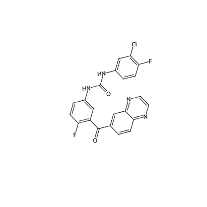 O=C(Nc1ccc(F)c(Cl)c1)Nc1ccc(F)c(C(=O)c2ccc3nccnc3c2)c1